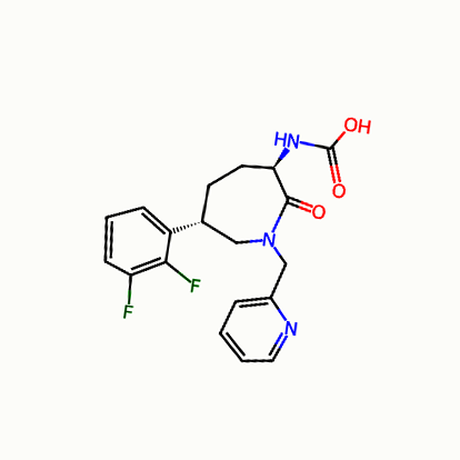 O=C(O)N[C@@H]1CC[C@@H](c2cccc(F)c2F)CN(Cc2ccccn2)C1=O